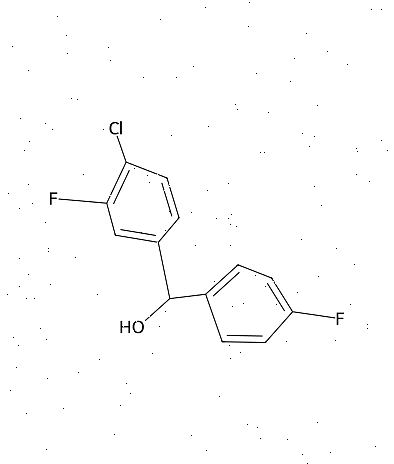 OC(c1ccc(F)cc1)c1ccc(Cl)c(F)c1